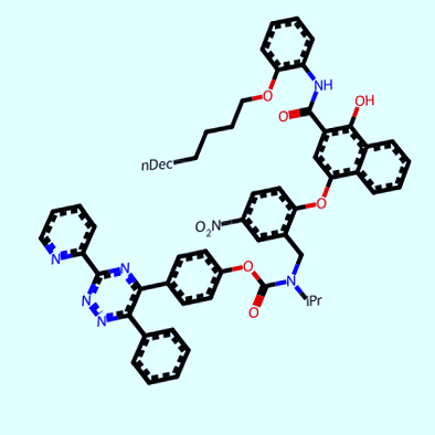 CCCCCCCCCCCCCCOc1ccccc1NC(=O)c1cc(Oc2ccc([N+](=O)[O-])cc2CN(C(=O)Oc2ccc(-c3nc(-c4ccccn4)nnc3-c3ccccc3)cc2)C(C)C)c2ccccc2c1O